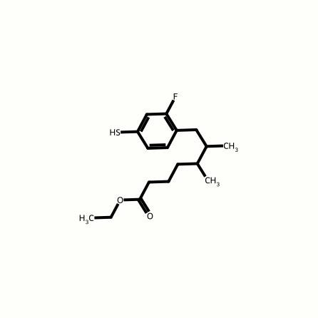 CCOC(=O)CCCC(C)C(C)Cc1ccc(S)cc1F